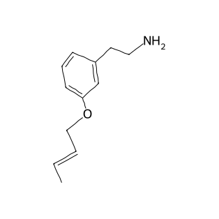 CC=CCOc1cccc(CCN)c1